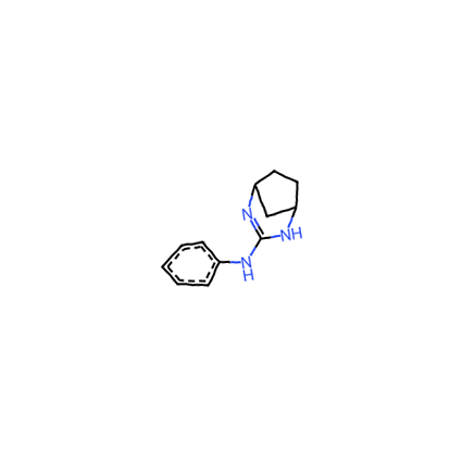 c1ccc(NC2=NC3CCC(C3)N2)cc1